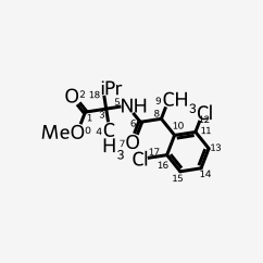 COC(=O)C(C)(NC(=O)C(C)c1c(Cl)cccc1Cl)C(C)C